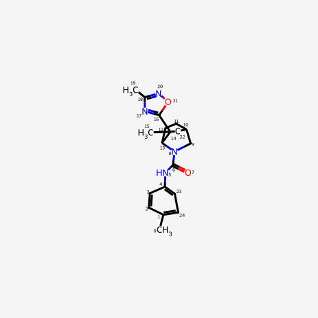 Cc1ccc(NC(=O)N2CC3CCC2C(C)(c2nc(C)no2)C3)cc1